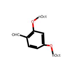 CCCCCCCCOc1ccc([C]=O)c(OCCCCCCCC)c1